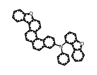 c1ccc(N(c2ccc3c(ccc4ccc5c(ccc6oc7ccccc7c65)c43)c2)c2cccc3oc4ccccc4c23)cc1